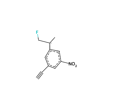 C#Cc1cc([C](C)CF)cc([N+](=O)[O-])c1